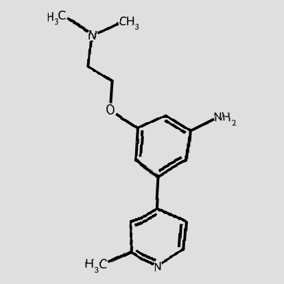 Cc1cc(-c2cc(N)cc(OCCN(C)C)c2)ccn1